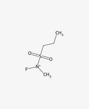 CCCS(=O)(=O)[N+](C)F